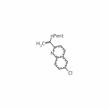 C=C(CCCCC)c1ccc2cc(Cl)ccc2n1